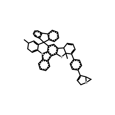 CC1C=C2C(=CC1)n1c3ccccc3c3c4c(cc(c31)C21c2ccccc2-c2ccccc21)C1C=CC=C(c2ccc(C3=CCN5CC35)cc2)C1(C)S4